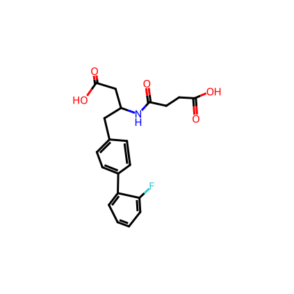 O=C(O)CCC(=O)NC(CC(=O)O)Cc1ccc(-c2ccccc2F)cc1